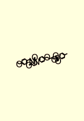 COc1ccc(CN2C(=O)CCN(c3ccc(OCCOS(=O)(=O)c4ccc(C)cc4)cc3)C2=O)cc1